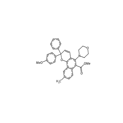 COC(=O)c1c(N2CCOCC2)c2c(c3cc(C)ccc13)OC(c1ccccc1)(c1ccc(OC)cc1)C=C2